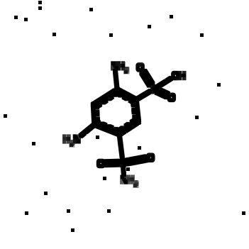 Nc1cc(N)c(S(=O)(=O)O)cc1S(N)(=O)=O